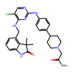 CNC(=O)CN1CCC(c2ccc(Nc3ncc(Cl)c(NCc4cccc5c4C(C)(C)C(=O)N5)n3)cc2)CC1